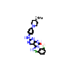 COC1CCN(c2ccc(Nc3ncc4c(=N)n(-c5c(Cl)cccc5Cl)c(=O)[nH]c4n3)cc2)CC1